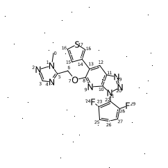 Cn1ncnc1COc1nc2c(cc1-c1ccsc1)nnn2-c1c(F)cccc1F